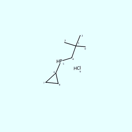 CC(C)(C)CPC1CC1.Cl